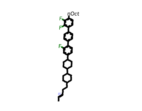 C/C=C/CCC1CCC(C2CCC(c3ccc(-c4ccc(-c5ccc(CCCCCCCC)c(F)c5F)cc4)c(F)c3)CC2)CC1